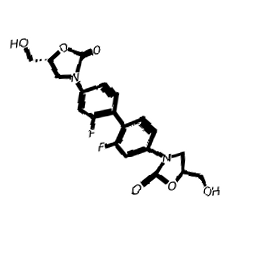 O=C1OC(CO)CN1c1ccc(-c2ccc(N3C[C@H](CO)OC3=O)cc2F)c(F)c1